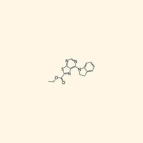 CCOC(=O)c1nc2c(N3CCc4ccccc43)ncnc2s1